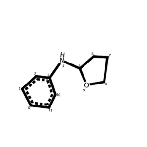 c1ccc(NC2CCCO2)cc1